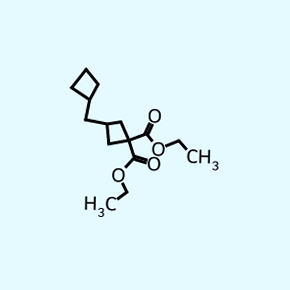 CCOC(=O)C1(C(=O)OCC)CC(CC2CCC2)C1